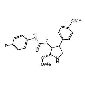 CO/N=C1\NCC(c2ccc(OC)cc2)C1NC(=O)Nc1ccc(F)cc1